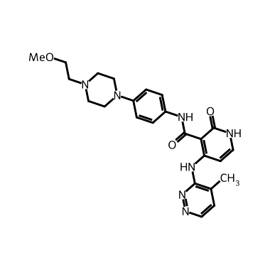 COCCN1CCN(c2ccc(NC(=O)c3c(Nc4nnccc4C)cc[nH]c3=O)cc2)CC1